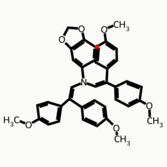 COc1ccc(C(=CN(C=C(c2ccc(OC)cc2)c2ccc(OC)cc2)c2ccc3c(c2)OCO3)c2ccc(OC)cc2)cc1